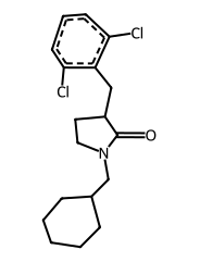 O=C1C(Cc2c(Cl)cccc2Cl)CCN1CC1CCCCC1